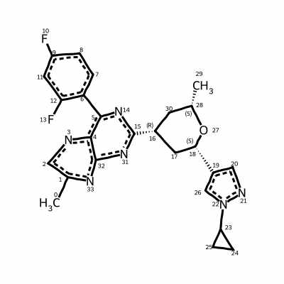 Cc1cnc2c(-c3ccc(F)cc3F)nc([C@H]3C[C@@H](c4cnn(C5CC5)c4)O[C@@H](C)C3)nc2n1